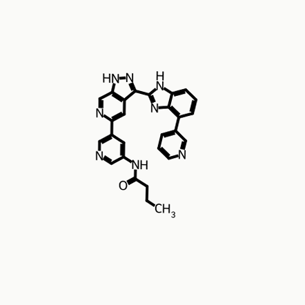 CCCC(=O)Nc1cncc(-c2cc3c(-c4nc5c(-c6cccnc6)cccc5[nH]4)n[nH]c3cn2)c1